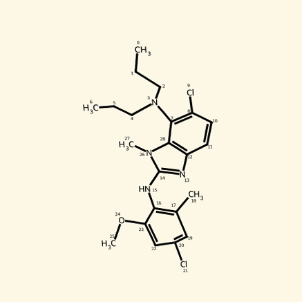 CCCN(CCC)c1c(Cl)ccc2nc(Nc3c(C)cc(Cl)cc3OC)n(C)c12